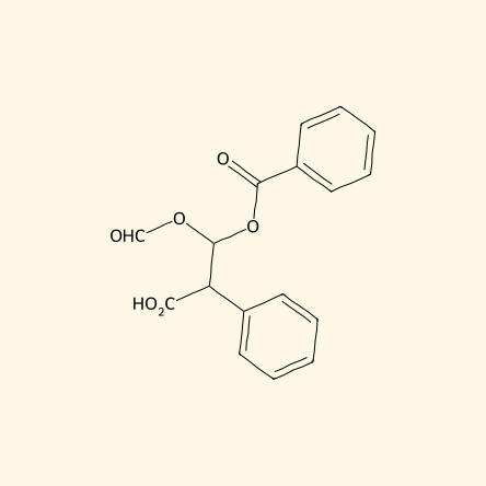 O=COC(OC(=O)c1ccccc1)C(C(=O)O)c1ccccc1